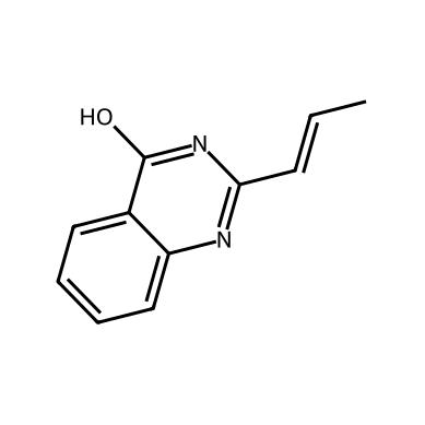 C/C=C/c1nc(O)c2ccccc2n1